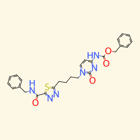 O=C(Nc1ccn(CCCCc2nnc(C(=O)NCc3ccccc3)s2)c(=O)n1)OCc1ccccc1